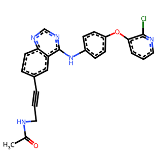 CC(=O)NCC#Cc1ccc2ncnc(Nc3ccc(Oc4cccnc4Cl)cc3)c2c1